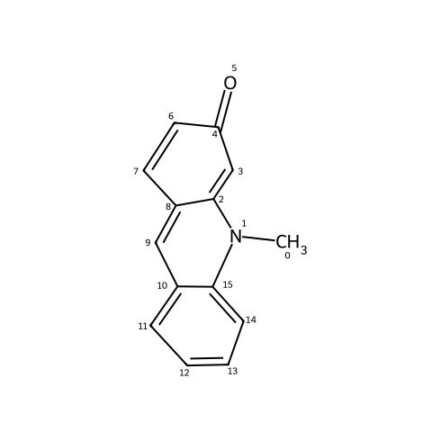 Cn1c2cc(=O)ccc-2cc2ccccc21